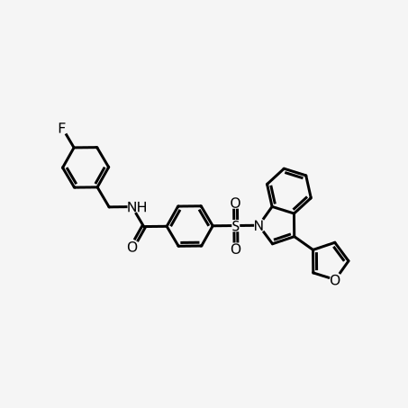 O=C(NCC1=CCC(F)C=C1)c1ccc(S(=O)(=O)n2cc(-c3ccoc3)c3ccccc32)cc1